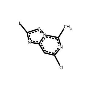 Cc1nc(Cl)cc2nc(I)nn12